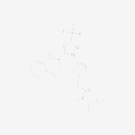 COc1ccccc1NC(=O)c1cc(C(F)(F)F)nn1-c1csc(CNC(=O)C(C)N)c1